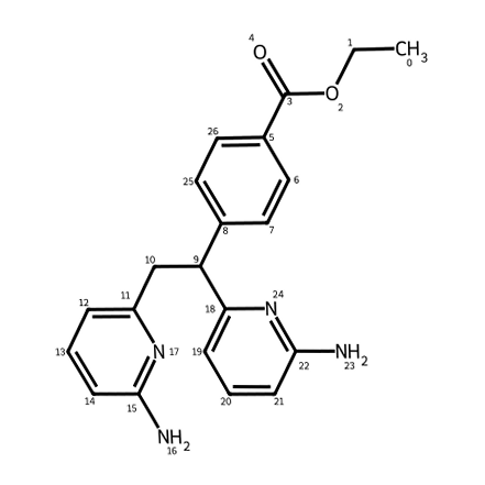 CCOC(=O)c1ccc(C(Cc2cccc(N)n2)c2cccc(N)n2)cc1